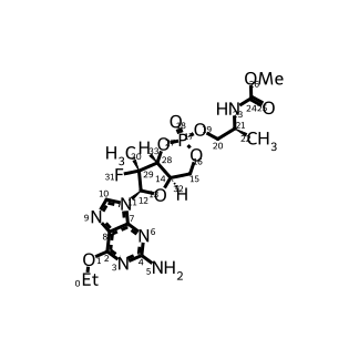 CCOc1nc(N)nc2c1ncn2[C@@H]1O[C@@H]2CO[P@](=O)(OC[C@H](C)NC(=O)OC)O[C@H]2[C@@]1(C)F